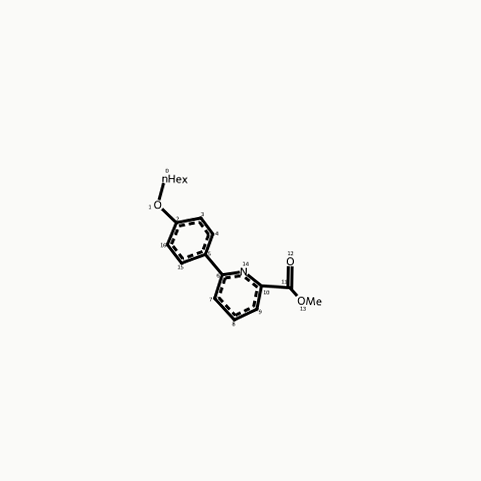 CCCCCCOc1ccc(-c2cccc(C(=O)OC)n2)cc1